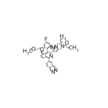 C=CC(=O)N1Cc2cc(-c3nc(-c4ccc5cnncc5c4)c4ccsc4c3-c3c(F)cc(F)cc3OCCOC)nn2CC1C